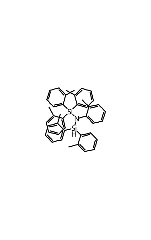 Cc1ccccc1N([SiH](c1ccccc1C)c1ccccc1C)[Si](c1ccccc1C)(c1ccccc1C)c1ccccc1C